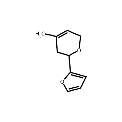 CC1=CCOC(c2ccco2)C1